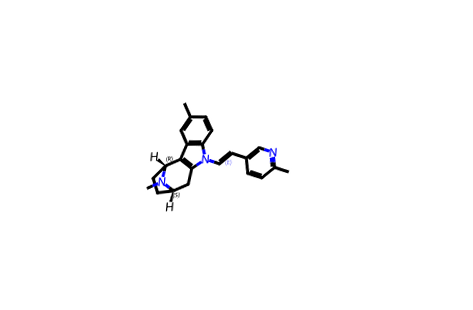 Cc1ccc2c(c1)c1c(n2/C=C/c2ccc(C)nc2)C[C@@H]2CC[C@H]1N2C